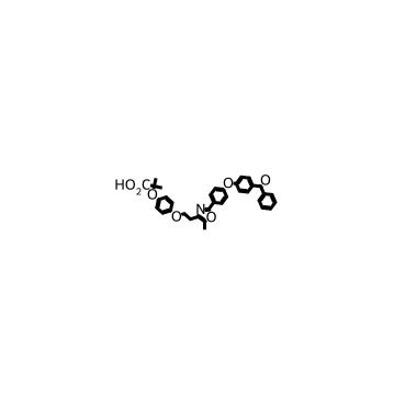 Cc1oc(-c2ccc(Oc3ccc(C(=O)c4ccccc4)cc3)cc2)nc1CCOc1ccc(OC(C)(C)C(=O)O)cc1